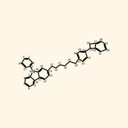 c1ccc(-n2c3ccccc3c3ccc(CCCCCCc4ccc(C5Cc6ccccc65)cc4)cc32)cc1